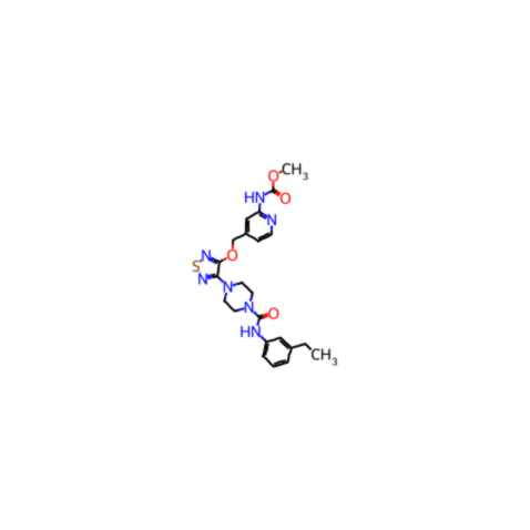 CCc1cccc(NC(=O)N2CCN(c3nsnc3OCc3ccnc(NC(=O)OC)c3)CC2)c1